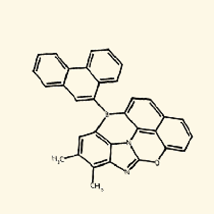 Cc1cc2c3c(nc4oc5cccc6ccc(c(c65)n43)B2c2cc3ccccc3c3ccccc23)c1C